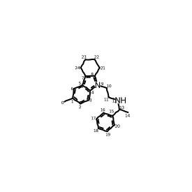 Cc1ccc2c(c1)c1c(n2CCNC(C)c2ccccc2)CCCC1